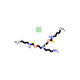 CCCCNC(=S)OCCN(CCCN)CCOC(=S)NCCCC.Cl.Cl